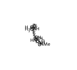 CNC(=O)Nc1ccc2c(c1)C(C)(C)\C(=C/C=C/C=C/C=C/C1Nc3ccccc3C1(C)C)N2